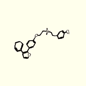 C[N+](C)(CCOc1ccc(-c2occc2-c2ccccc2)cc1)CCc1ccc(Cl)cc1